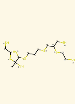 CC(S)(SCCS)C(S)SCCCSCC(CS)SCCS